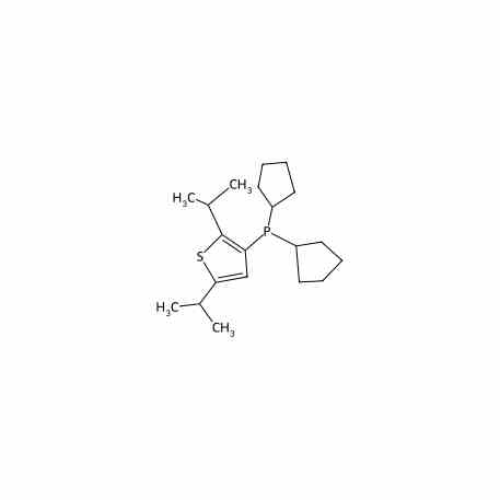 CC(C)c1cc(P(C2CCCC2)C2CCCC2)c(C(C)C)s1